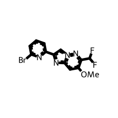 COc1cc2nc(-c3cccc(Br)n3)cn2nc1C(F)F